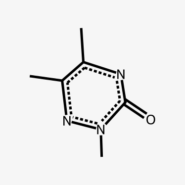 Cc1nc(=O)n(C)nc1C